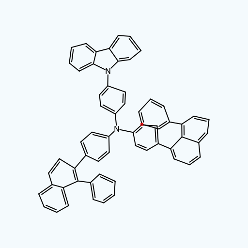 c1ccc(-c2c(-c3ccc(N(c4ccc(-c5cccc6cccc(-c7ccccc7)c56)cc4)c4ccc(-n5c6ccccc6c6ccccc65)cc4)cc3)ccc3ccccc23)cc1